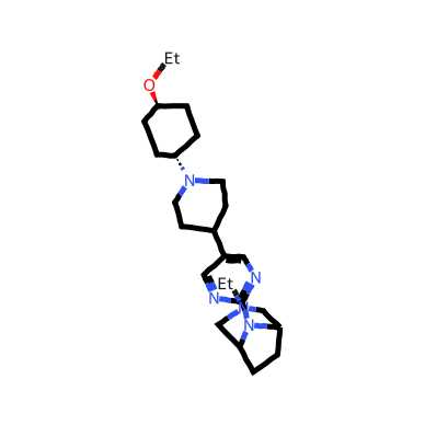 CCO[C@H]1CC[C@H](N2CCC(c3cnc(N4C5CCC4CN(CC)C5)nc3)CC2)CC1